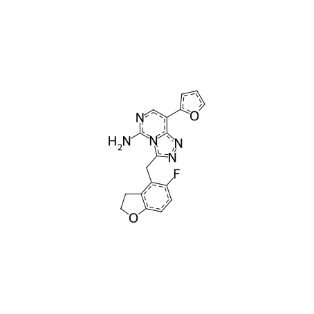 Nc1ncc(-c2ccco2)c2nnc(Cc3c(F)ccc4c3CCO4)n12